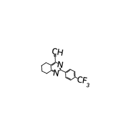 C#Cc1nc(-c2ccc(C(F)(F)F)cc2)nc2c1CCCC2